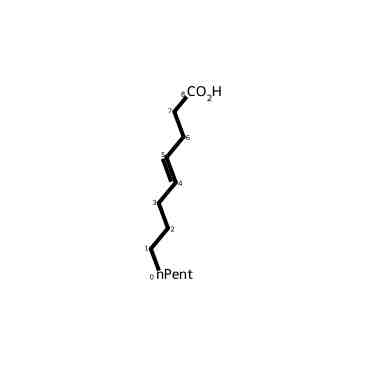 CCCCCCCCC=CCCC(=O)O